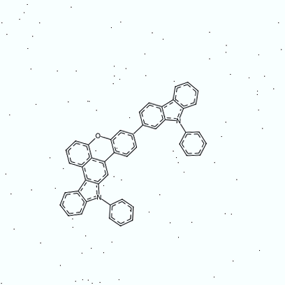 c1ccc(-n2c3ccccc3c3ccc(-c4ccc5c(c4)Oc4cccc6c4c-5cc4c6c5ccccc5n4-c4ccccc4)cc32)cc1